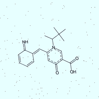 CC(n1cc(C(=O)O)c(=O)cc1/C=C1\C=CC=CC1=N)C(C)(C)C